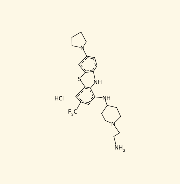 Cl.NCCN1CCC(Nc2cc(C(F)(F)F)cc3c2Nc2ccc(N4CCCC4)cc2S3)CC1